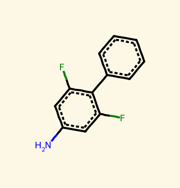 Nc1cc(F)c(-c2ccccc2)c(F)c1